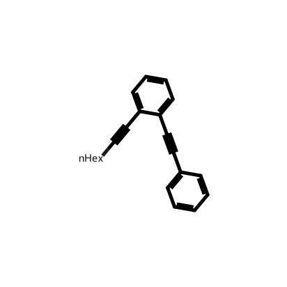 CCCCCCC#Cc1ccccc1C#Cc1ccccc1